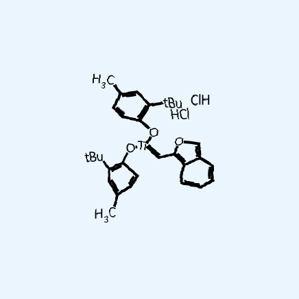 Cc1ccc([O][Ti](=[CH]c2occ3ccccc23)[O]c2ccc(C)cc2C(C)(C)C)c(C(C)(C)C)c1.Cl.Cl